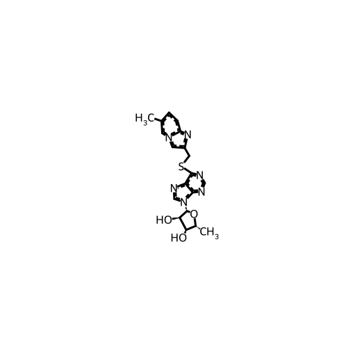 Cc1ccc2nc(CSc3ncnc4c3ncn4[C@@H]3O[C@H](C)[C@@H](O)[C@H]3O)cn2c1